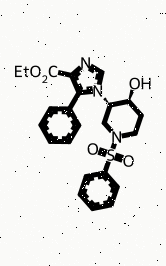 CCOC(=O)c1ncn([C@H]2CN(S(=O)(=O)c3ccccc3)CC[C@@H]2O)c1-c1ccccc1